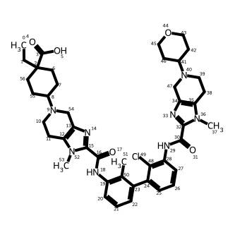 CCC1(C(=O)O)CCC(N2CCc3c(nc(C(=O)Nc4cccc(-c5cccc(NC(=O)c6nc7c(n6C)CCN(C6CCOCC6)C7)c5Cl)c4C)n3C)C2)CC1